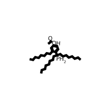 CC(=O)O.CCCCCCCCc1ccccc1C(P)(CCCCCCCC)CCCCCCCC